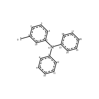 Ic1cccc(N(c2ccccc2)c2ccccc2)c1